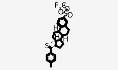 Cc1ccc(C(=S)[C@H]2CC[C@H]3[C@@H]4CCc5cc(S(=O)(=O)OC(F)(F)F)ccc5[C@H]4CC[C@]23C)cc1